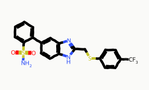 NS(=O)(=O)c1ccccc1-c1ccc2[nH]c(CSc3ccc(C(F)(F)F)cc3)nc2c1